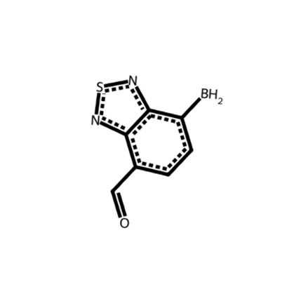 Bc1ccc(C=O)c2nsnc12